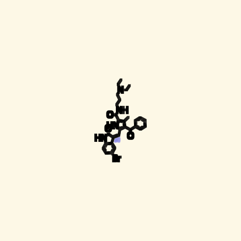 CCN(CC)CCCNC(=O)c1[nH]c(/C=C2\C(=O)Nc3ccc(Br)cc32)c(C(=O)c2ccccc2)c1C